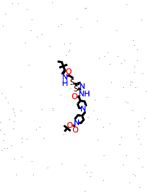 CCC(C)(C)C1=CNC(CSc2cnc(NC(=O)C3CCN(CC4CCN(C(=O)OC(C)(C)C)CC4)CC3)s2)O1